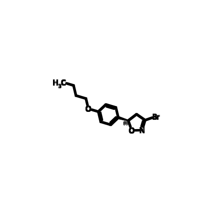 CCCCOc1ccc([C@H]2CC(Br)=NO2)cc1